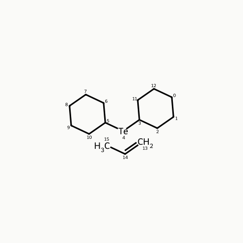 C1CCC([Te]C2CCCCC2)CC1.C=CC